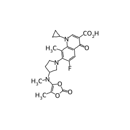 Cc1oc(=O)oc1N(C)C1CCN(c2c(F)cc3c(=O)c(C(=O)O)cn(C4CC4)c3c2C)C1